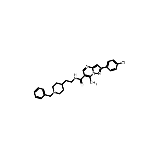 Cc1c(C(=O)NCCC2CCN(Cc3ccccc3)CC2)cnc2cc(-c3ccc(Cl)cc3)nn12